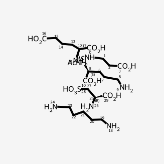 CC(=O)NCCC(=O)O.CC(=O)N[C@@H](CCCN)C(=O)O.NC(CCCC(=O)O)C(=O)O.NCCCCCN.N[C@@H](CS(=O)(=O)O)C(=O)O